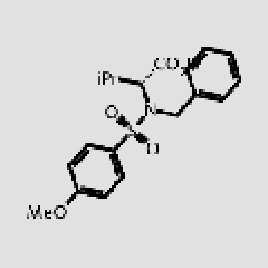 COc1ccc(S(=O)(=O)N(Cc2ccccc2)[C@@H](C(=O)O)C(C)C)cc1